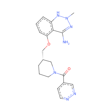 CN1N=C(N)c2c(cccc2OC[C@H]2CCCN(C(=O)c3ccnnc3)C2)N1